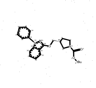 CC(C)(C)OC(=O)N1CC[C@@H](COc2nn(-c3ccccc3)c3ccccc23)C1